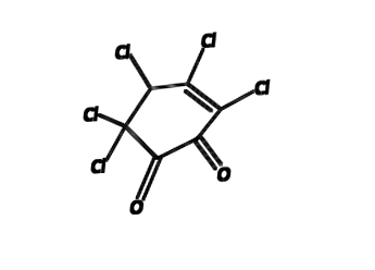 O=C1C(=O)C(Cl)(Cl)C(Cl)C(Cl)=C1Cl